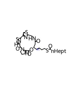 CCCCCCCC(=O)SCC/C=C/C1CC(=O)NCc2nc(cs2)C2=N[C@@H](CS2)C(=O)N2CCC[C@H]2C(=O)O1